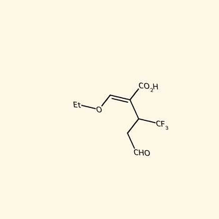 CCO/C=C(/C(=O)O)C(CC=O)C(F)(F)F